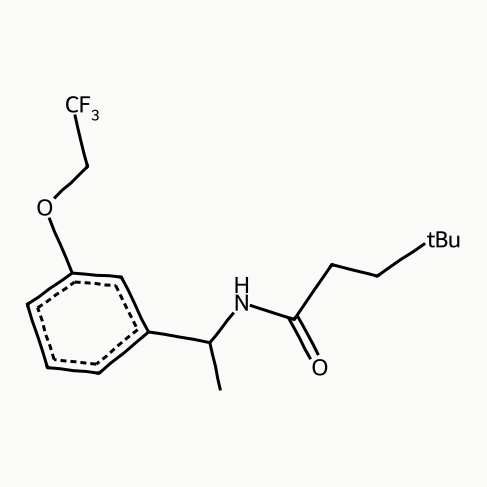 CC(NC(=O)CCC(C)(C)C)c1cccc(OCC(F)(F)F)c1